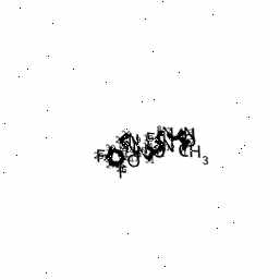 Cc1oncc1-c1ncc(F)c(OC2CN(C(=O)N3N=CC[C@H]3c3cc(F)cc(F)c3)C2)n1